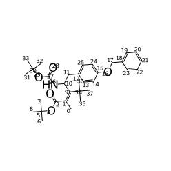 C/C(C(=O)OC(C)(C)C)=C(/C(Cc1ccc(OCc2ccccc2)cc1)NC(=O)OC(C)(C)C)C(C)(C)C